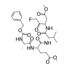 COC(=O)CCC(NC(=O)[C@H](C)NC(=O)OCc1ccccc1)C(=O)N[C@H](C(=O)NC(CC(=O)OC)C(=O)CF)C(C)C